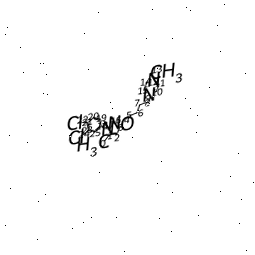 Cc1cc(OCCCCN2CCN(C)CC2)nn1-c1ccc(Cl)c(Cl)c1